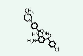 CN1CCCN(c2ccc(C(=O)Nc3c(N)ccc(C(=O)c4ccc(Cl)cc4)c3O)cc2)CC1